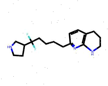 FC(F)(CCCCc1ccc2c(n1)NCCC2)C1CCNC1